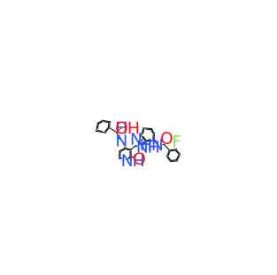 O=C(Nc1cccc2nc(-c3c(NC[C@H](O)c4ccccc4)cc[nH]c3=O)[nH]c12)c1ccccc1F